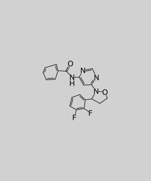 O=C(Nc1cc(N2OCCC2c2cccc(F)c2F)ncn1)c1ccccc1